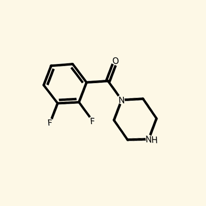 O=C(c1cccc(F)c1F)N1CCNCC1